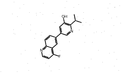 CC(C)c1ncc(-c2ccc3nccc(F)c3c2)cc1O